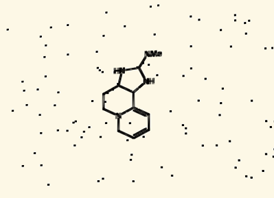 CNC1NC2CCN3CC=CC=C3C2N1